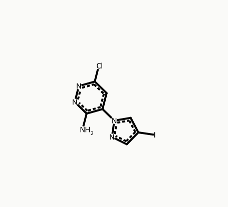 Nc1nnc(Cl)cc1-n1cc(I)cn1